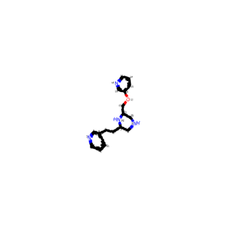 c1cncc(CCC2CNCC(COc3cccnc3)N2)c1